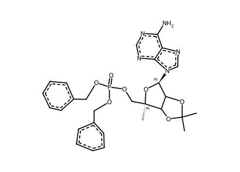 CC1(C)OC2C(O1)[C@@](C)(COP(=O)(OCc1ccccc1)OCc1ccccc1)O[C@H]2n1cnc2c(N)ncnc21